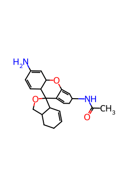 CC(=O)NC1C=C2OC3C=C(N)C=CC3C3(OCC4CCC=CC43)C2=CC1